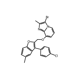 Cc1ccc2oc(COc3cccn4c(Br)c(C)nc34)c(-c3ccc(Cl)cc3)c2c1